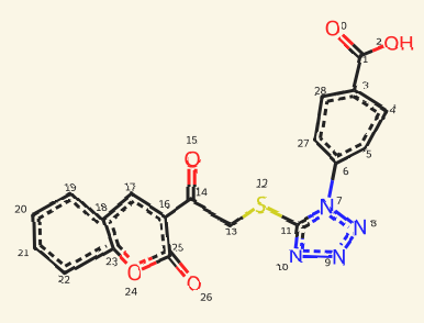 O=C(O)c1ccc(-n2nnnc2SCC(=O)c2cc3ccccc3oc2=O)cc1